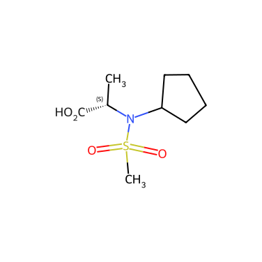 C[C@@H](C(=O)O)N(C1CCCC1)S(C)(=O)=O